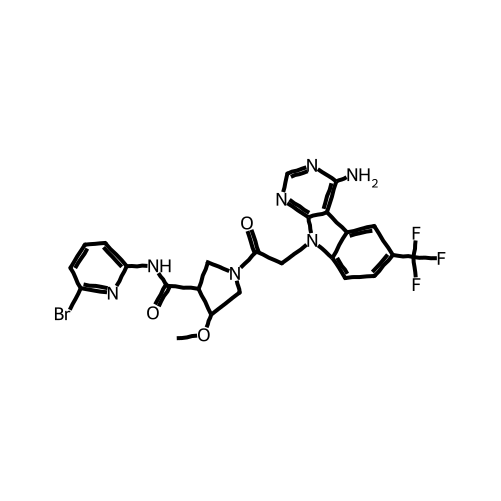 COC1CN(C(=O)Cn2c3ccc(C(F)(F)F)cc3c3c(N)ncnc32)CC1C(=O)Nc1cccc(Br)n1